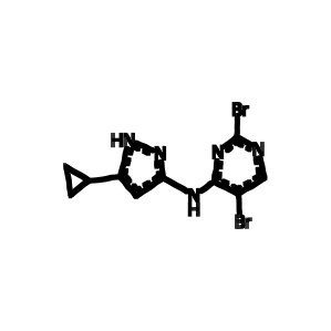 Brc1ncc(Br)c(Nc2cc(C3CC3)[nH]n2)n1